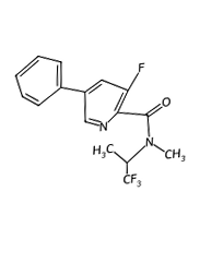 CC(N(C)C(=O)c1ncc(-c2ccccc2)cc1F)C(F)(F)F